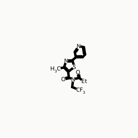 CCC(=O)N(CC(F)(F)F)C(=O)c1sc(-c2cccnc2)nc1C